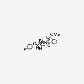 CCn1c(Oc2ccc(F)cc2)nnc1[C@@H](C)NS(=O)(=O)c1ccccc1C(=O)OC